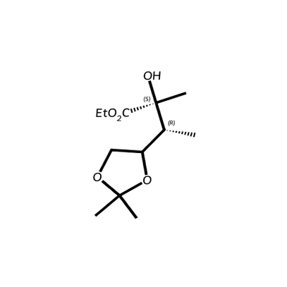 CCOC(=O)[C@@](C)(O)[C@H](C)C1COC(C)(C)O1